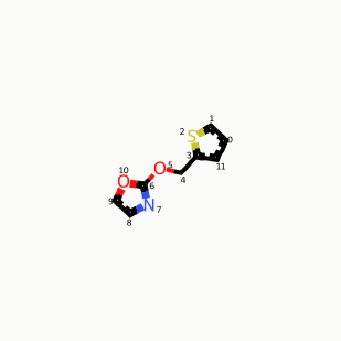 c1csc(COc2ncco2)c1